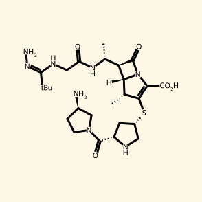 C[C@@H](NC(=O)CN/C(=N\N)C(C)(C)C)[C@H]1C(=O)N2C(C(=O)O)=C(S[C@@H]3CN[C@H](C(=O)N4CC[C@@H](N)C4)C3)[C@H](C)[C@H]12